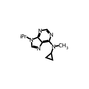 CC(C)n1cnc2c(N(C)C3CC3)ncnc21